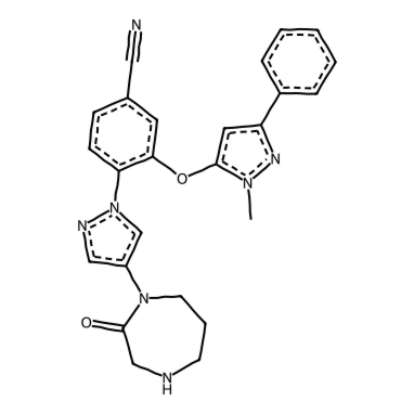 Cn1nc(-c2ccccc2)cc1Oc1cc(C#N)ccc1-n1cc(N2CCCNCC2=O)cn1